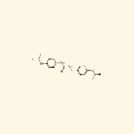 O=C(NCc1ccc(OC(F)F)cc1)Nc1ccc(OC(F)F)cc1